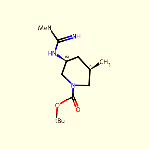 CNC(=N)N[C@H]1C[C@@H](C)CN(C(=O)OC(C)(C)C)C1